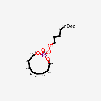 CCCCCCCCCCCCCCOOP1(=O)OCCCCCCCCO1